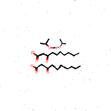 CC(C)[O][Ti+2][O]C(C)C.CCCCCCCC(=O)CC(=O)[O-].CCCCCCCC(=O)CC(=O)[O-]